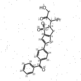 CC(C)C(C(=O)CO)N1Cc2sc(-c3ccc(C(=O)c4ccccc4)cc3)cc2S1(=O)=O